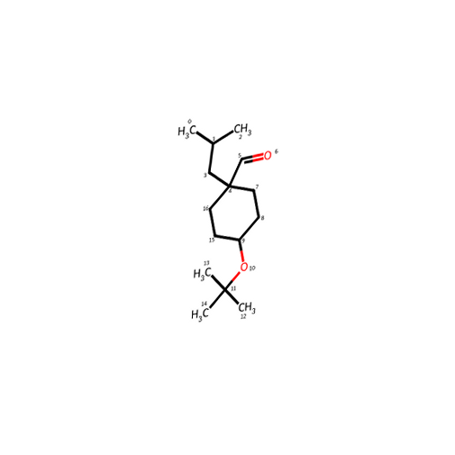 CC(C)CC1(C=O)CCC(OC(C)(C)C)CC1